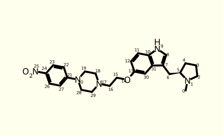 CN1CCC[C@@H]1Cc1c[nH]c2ccc(OCCN3CCN(c4ccc([N+](=O)[O-])cc4)CC3)cc12